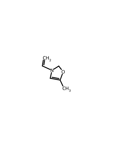 C=CN1C=C(C)OC1